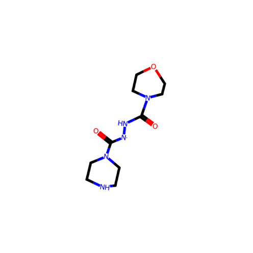 O=C([N]NC(=O)N1CCOCC1)N1CCNCC1